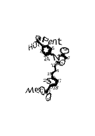 CCCCCC(O)c1ccc(N2C(=O)CO[C@@H]2CCCc2ccc(C(=O)OC)s2)cc1